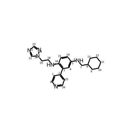 c1cc(-c2cc(NCC3CCCCC3)ccc2NCCn2cncn2)ccn1